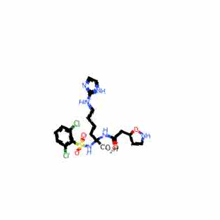 O=C(CC1CCNO1)NC(CCCCNc1ncc[nH]1)(NS(=O)(=O)c1c(Cl)cccc1Cl)C(=O)O